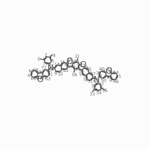 Cc1cc(C)cc(N(c2ccc3cc4c(cc3c2)oc2c(C)c3oc5cc6cc(N(c7cc(C)cc(C)c7)c7ccc8oc9ccccc9c8c7)ccc6cc5c3c(C)c24)c2ccc3oc4ccccc4c3c2)c1